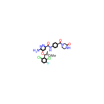 COB(C)C(Oc1cc(C(=O)Nc2ccc(C(=O)N3CCNC(=O)C3)cc2)nnc1N)c1c(Cl)ccc(F)c1Cl